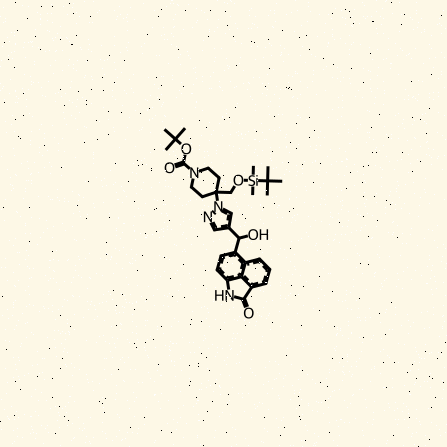 CC(C)(C)OC(=O)N1CCC(CO[Si](C)(C)C(C)(C)C)(n2cc(C(O)c3ccc4c5c(cccc35)C(=O)N4)cn2)CC1